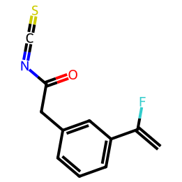 C=C(F)c1cccc(CC(=O)N=C=S)c1